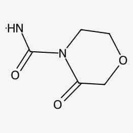 [NH]C(=O)N1CCOCC1=O